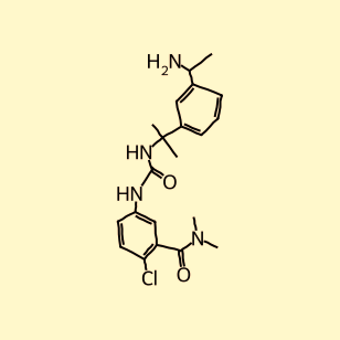 CC(N)c1cccc(C(C)(C)NC(=O)Nc2ccc(Cl)c(C(=O)N(C)C)c2)c1